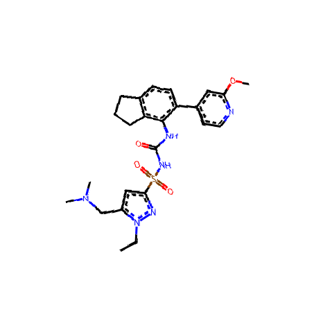 CCn1nc(S(=O)(=O)NC(=O)Nc2c(-c3ccnc(OC)c3)ccc3c2CCC3)cc1CN(C)C